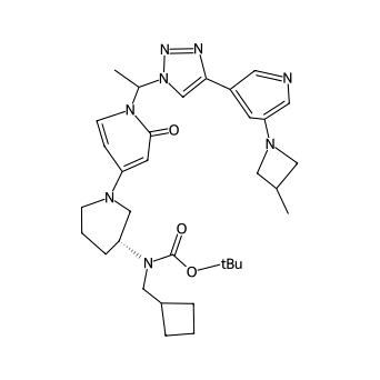 CC1CN(c2cncc(-c3cn(C(C)n4ccc(N5CCC[C@@H](N(CC6CCC6)C(=O)OC(C)(C)C)C5)cc4=O)nn3)c2)C1